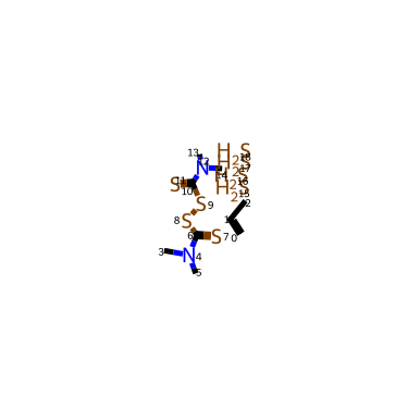 C=CC.CN(C)C(=S)SSC(=S)N(C)C.S.S.S.S